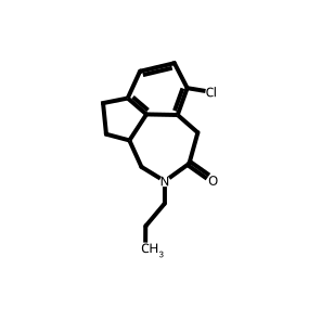 CCCN1CC2CCc3ccc(Cl)c(c32)CC1=O